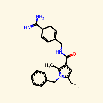 Cc1cc(C(=O)NCC2=CCC(C(=N)N)C=C2)c(C)n1Cc1ccccc1